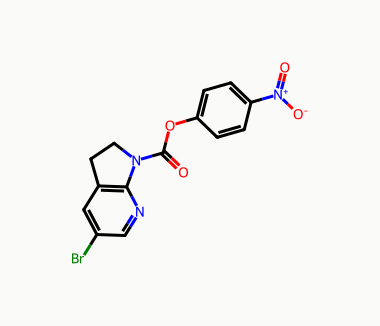 O=C(Oc1ccc([N+](=O)[O-])cc1)N1CCc2cc(Br)cnc21